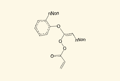 C=CC(=O)OOC(=CCCCCCCCCC)Oc1ccccc1CCCCCCCCC